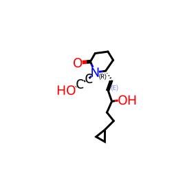 O=C1CCC[C@H](/C=C/C(O)CCC2CC2)N1CCO